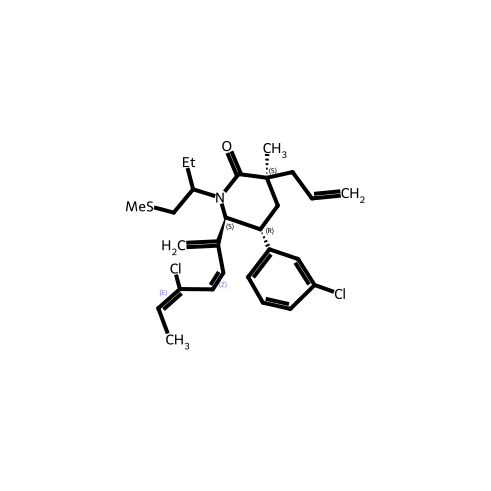 C=CC[C@@]1(C)C[C@H](c2cccc(Cl)c2)[C@@H](C(=C)/C=C\C(Cl)=C/C)N(C(CC)CSC)C1=O